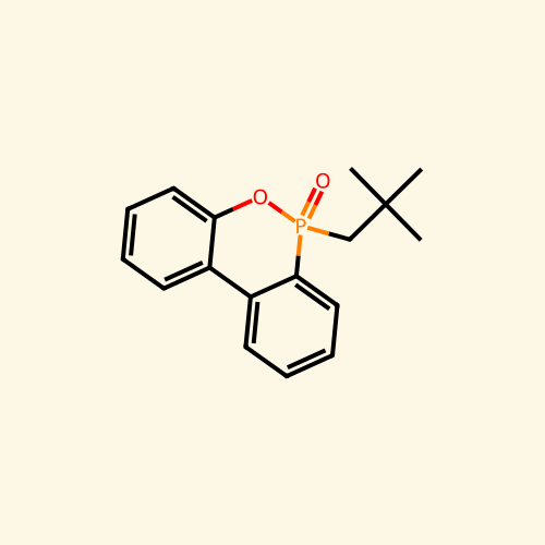 CC(C)(C)CP1(=O)Oc2ccccc2-c2ccccc21